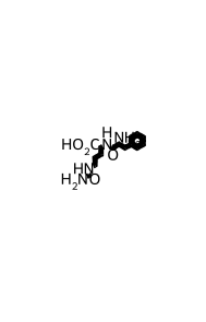 NC(=O)NCCC[C@H](NC(=O)[C@H](N)Cc1ccccc1)C(=O)O